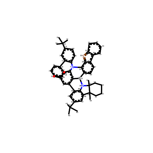 Cc1cc2c3c(c1)N(c1ccc(C(C)(C)C)cc1-c1ccccc1)c1c(ccc4c1sc1ccccc14)B3N1c3c-2cc(C(C)(C)C)cc3C2(C)CCCCC12C